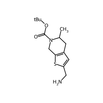 CC1Cc2cc(CN)sc2CN1C(=O)OC(C)(C)C